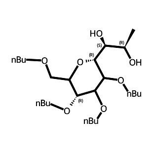 CCCCOCC1O[C@H]([C@@H](O)[C@@H](C)O)C(OCCCC)C(OCCCC)[C@@H]1OCCCC